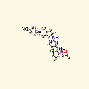 CP(C)(=O)c1cc(F)ccc1Nc1nc(Nc2ccc3c(c2)CC[C@@H](N2CC4C(C#N)C4C2)CC3)ncc1Cl